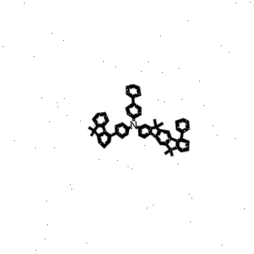 CC1(C)c2cc(N(c3ccc(-c4ccccc4)cc3)c3ccc(-c4cccc5c4-c4ccccc4C5(C)C)cc3)ccc2-c2cc3c(cc21)-c1c(-c2ccccc2)cccc1C3(C)C